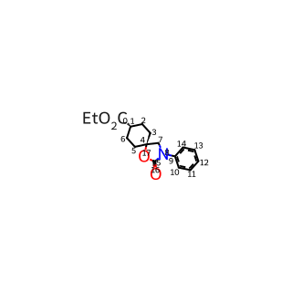 CCOC(=O)[C@H]1CC[C@@]2(CC1)CN(c1ccccc1)C(=O)O2